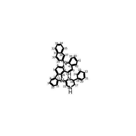 C1=Cc2c(ccc3c4ccccc4n(C4=CNCC(c5ccccc5)N4)c23)N(c2ccc3ccccc3c2)c2ccccc21